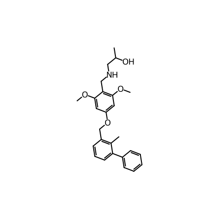 COc1cc(OCc2cccc(-c3ccccc3)c2C)cc(OC)c1CNCC(C)O